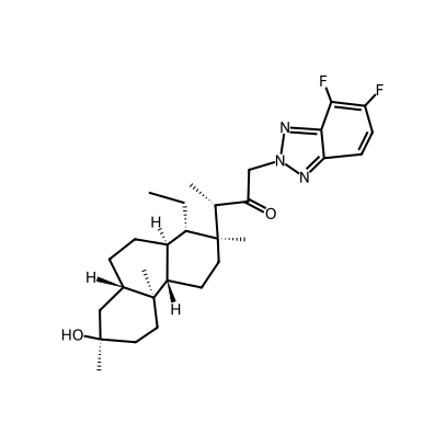 CC[C@H]1[C@@H]2CC[C@H]3C[C@](C)(O)CC[C@]3(C)[C@H]2CC[C@]1(C)[C@H](C)C(=O)Cn1nc2ccc(F)c(F)c2n1